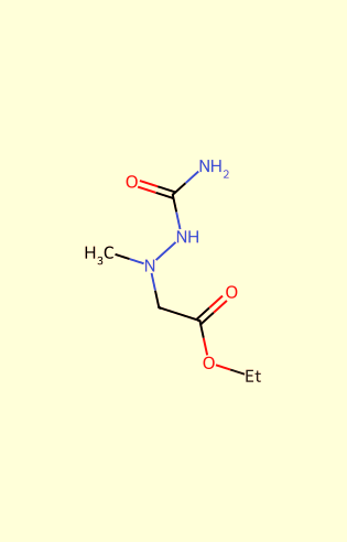 CCOC(=O)CN(C)NC(N)=O